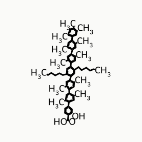 CCCCCCc1cc(-c2cc(C)c(-c3cc(C)c(-c4cc(C)c(C)cc4C)cc3C)cc2C)c(CCCCCC)cc1-c1cc(C)c(-c2cc(C)c(-c3ccc(C(=O)O)c(O)c3)cc2C)cc1C